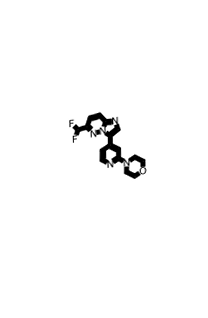 FC(F)c1ccc2ncc(-c3ccnc(N4CCOCC4)c3)n2n1